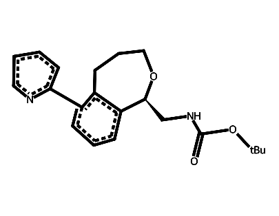 CC(C)(C)OC(=O)NC[C@@H]1OCCCc2c(-c3ccccn3)cccc21